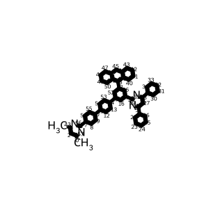 Cc1cc(C)nc(-c2ccc(-c3ccc(-c4cc(-c5nc(-c6ccccc6)cc(-c6ccccc6)n5)cc(-c5c6ccccc6cc6ccccc56)c4)cc3)cc2)n1